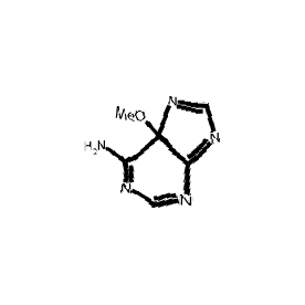 COC12N=CN=C1N=CN=C2N